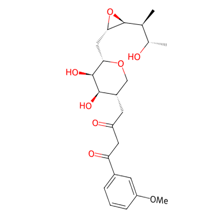 COc1cccc(C(=O)CC(=O)C[C@H]2CO[C@@H](C[C@@H]3O[C@H]3[C@@H](C)[C@H](C)O)[C@H](O)[C@@H]2O)c1